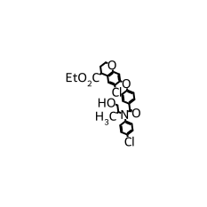 CCOC(=O)C1CCOc2cc(Oc3ccc(C(=O)N(c4ccc(Cl)cc4)C(C)CO)cc3)c(Cl)cc21